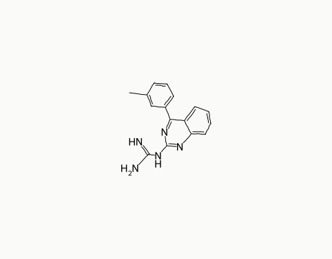 Cc1cccc(-c2nc(NC(=N)N)nc3ccccc23)c1